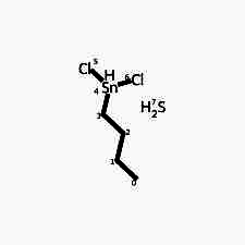 CCC[CH2][SnH]([Cl])[Cl].S